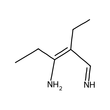 CC/C(N)=C(/C=N)CC